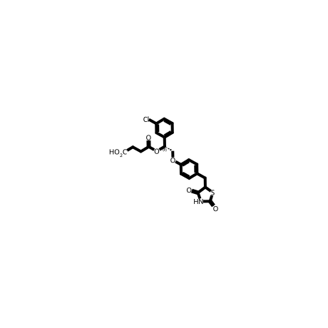 O=C(O)CCC(=O)O[C@@H](COc1ccc(CC2SC(=O)NC2=O)cc1)c1cccc(Cl)c1